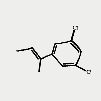 C/C=C(\C)c1cc(Cl)cc(Cl)c1